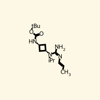 C/C=C/N=C(/N)N(C(C)C)[C@H]1C[C@@H](NC(=O)OC(C)(C)C)C1